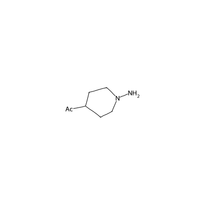 CC(=O)C1CCN(N)CC1